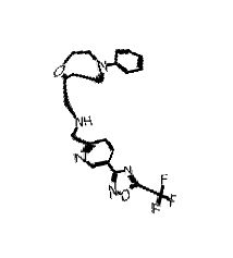 FC(F)(F)c1nc(-c2ccc(CNCC3CN(c4ccccc4)CCO3)nc2)no1